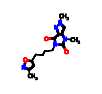 Cc1cc(CCCCn2c(=O)c3nn(C)cc3n(C)c2=O)on1